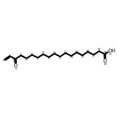 C=CC(=O)CCCCCCCCCCCCCCCC(=O)O